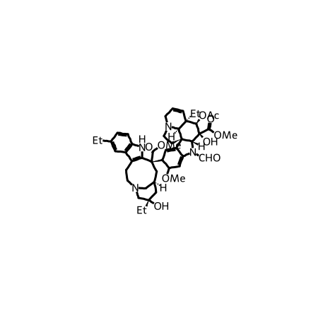 CCc1ccc2[nH]c3c(c2c1)CCN1C[C@H](C[C@@](O)(CC)C1)C[C@]3(C(=O)OC)C1C=C2C(=CC1OC)N(C=O)[C@H]1[C@@](O)(C(=O)OC)[C@H](OC(C)=O)[C@]3(CC)C=CCN4CC[C@]21[C@@H]43